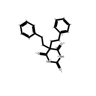 O=C1NC(=O)C(CCc2ccccc2)(CCc2ccccc2)C(=O)N1